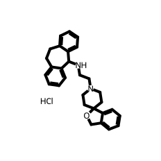 Cl.c1ccc2c(c1)CCc1ccccc1C2NCCN1CCC2(CC1)OCc1ccccc12